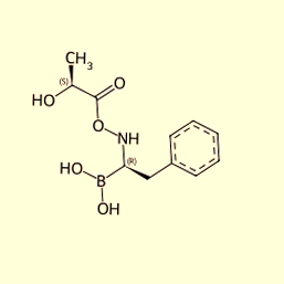 C[C@H](O)C(=O)ON[C@@H](Cc1ccccc1)B(O)O